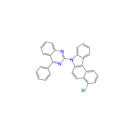 Brc1cccc2c1ccc1c2c2ccccc2n1-c1nc(-c2ccccc2)c2ccccc2n1